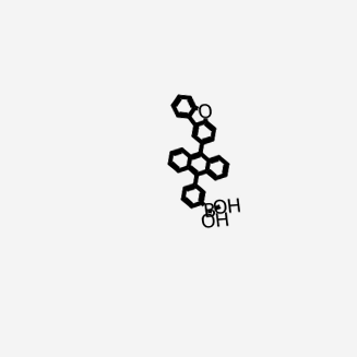 OB(O)c1cccc(-c2c3ccccc3c(-c3ccc4oc5ccccc5c4c3)c3ccccc23)c1